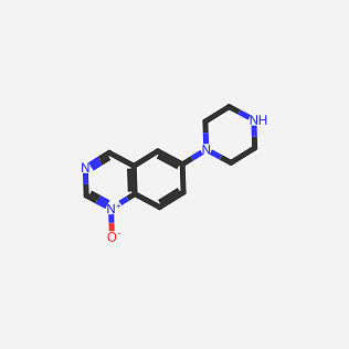 [O-][n+]1cncc2cc(N3CCNCC3)ccc21